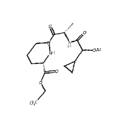 CC(=O)OC(C(=O)N[C@@H](C)C(=O)N1CCC[C@@H](C(=O)OCC(Cl)(Cl)Cl)N1)C1CC1